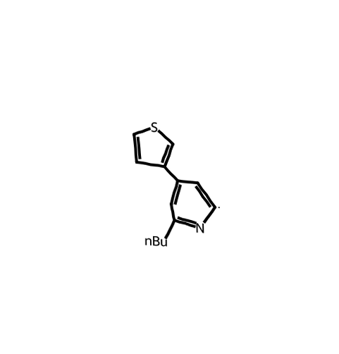 CCCCc1cc(-c2ccsc2)c[c]n1